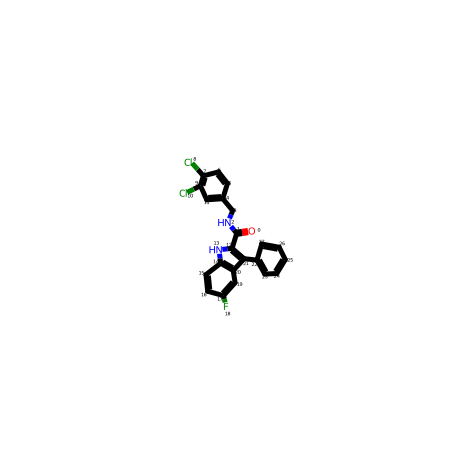 O=C(NCc1ccc(Cl)c(Cl)c1)c1[nH]c2ccc(F)cc2c1-c1ccccc1